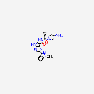 Cn1nc(-c2cnc3[nH]cc(C(=O)N[C@@H](C(=O)N4CCC(N)CC4)C4CC4)c3n2)c2ccccc21